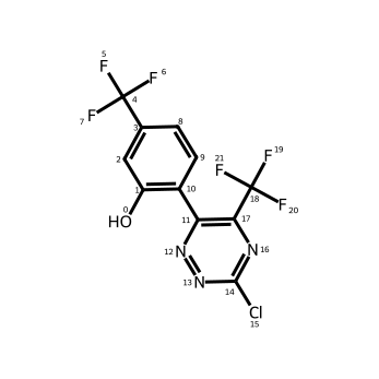 Oc1cc(C(F)(F)F)ccc1-c1nnc(Cl)nc1C(F)(F)F